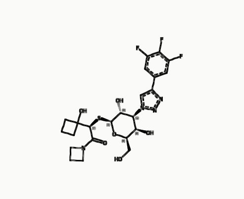 O=C([C@H](S[C@@H]1O[C@H](CO)[C@H](O)[C@H](n2cc(-c3cc(F)c(F)c(F)c3)nn2)[C@H]1O)C1(O)CCC1)N1CCC1